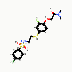 CN(C)C(=O)COc1ccc(SCCNS(=O)(=O)c2ccc(Cl)cc2)cc1F